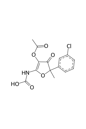 CC(=O)OC1=C(NC(=O)O)OC(C)(c2cccc(Cl)c2)C1=O